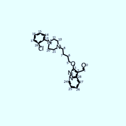 O=Cc1c(OCCCCN2CCN(c3ccccc3Cl)CC2)nn2ccccc12